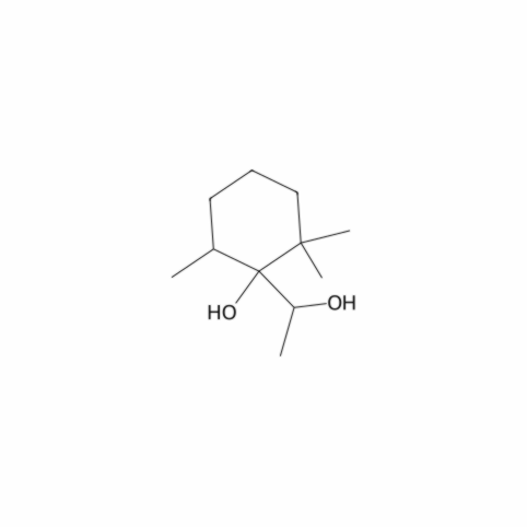 CC(O)C1(O)C(C)CCCC1(C)C